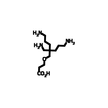 NCCCC(CN)(CCCN)COCCC(=O)O